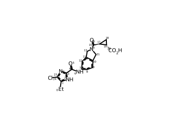 CCc1[nH]c(C(=O)Nc2ccc3c(c2)CN(C(=O)[C@H]2C[C@@H]2C(=O)O)C3)nc1Cl